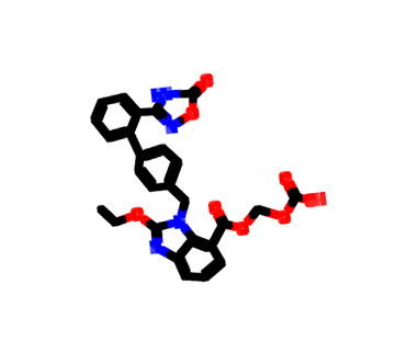 CCOc1nc2cccc(C(=O)OCOC(=O)O)c2n1Cc1ccc(-c2ccccc2-c2noc(=O)[nH]2)cc1